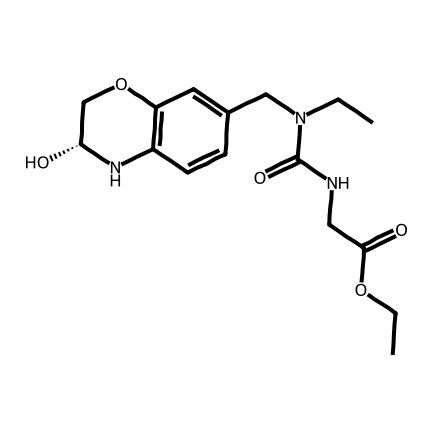 CCOC(=O)CNC(=O)N(CC)Cc1ccc2c(c1)OC[C@@H](O)N2